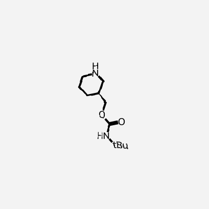 CC(C)(C)NC(=O)OC[C@H]1CCCNC1